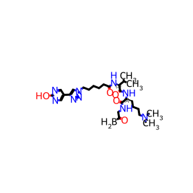 BC(=O)CNC(=O)[C@H](CCCCN(C)C)NC(=O)[C@@H](NC(=O)CCCCCn1cc(-c2cnc(O)nc2)nn1)C(C)C